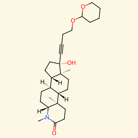 CN1C(=O)CC[C@]2(C)[C@H]3CC[C@@]4(C)[C@@H](CC[C@@]4(O)C#CCCOC4CCCCO4)[C@@H]3CC[C@@H]12